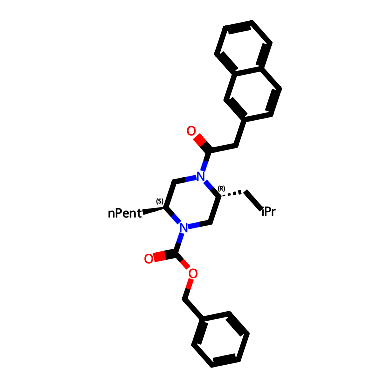 CCCCC[C@H]1CN(C(=O)Cc2ccc3ccccc3c2)[C@H](CC(C)C)CN1C(=O)OCc1ccccc1